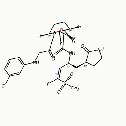 CS(=O)(=O)/C(F)=C\[C@H](C[C@@H]1CCNC1=O)NC(=O)[C@H]1[C@H]2CC[C@H](CC2(F)F)N1C(=O)CNc1cccc(Cl)c1